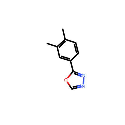 Cc1ccc(-c2nnco2)cc1C